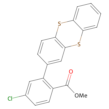 COC(=O)c1ccc(Cl)cc1-c1ccc2c(c1)Sc1ccccc1S2